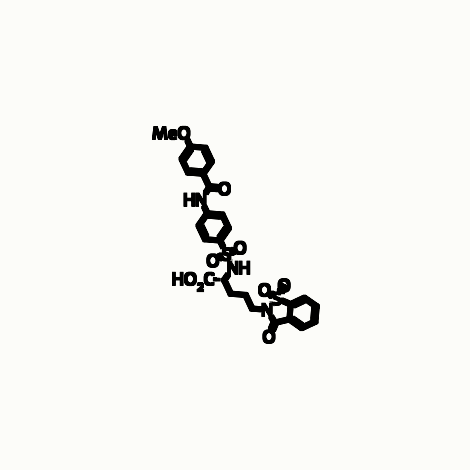 COc1ccc(C(=O)Nc2ccc(S(=O)(=O)N[C@H](CCCN3C(=O)c4ccccc4S3(=O)=O)C(=O)O)cc2)cc1